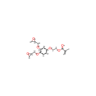 C=C(C)C(=O)OCCOc1ccc(OCC2CO2)c(OCC2CO2)c1